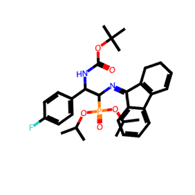 CC(C)OP(=O)(OC(C)C)C(/N=C1/C2=C(C=CCC2)c2ccccc21)C(NC(=O)OC(C)(C)C)c1ccc(F)cc1